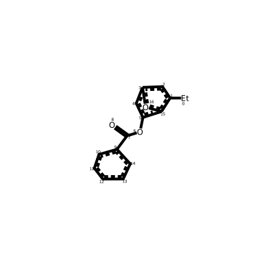 CCc1cc2cc(OC(=O)c3ccccc3)c1o2